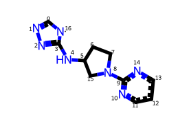 C1=NN=C(NC2CCN(c3ncccn3)C2)[N]1